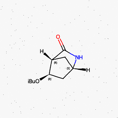 CC(C)CO[C@@H]1C[C@@H]2C[C@H]1C(=O)N2